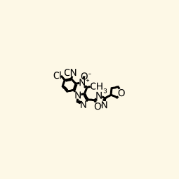 Cc1c2c(-c3nc(C4CCOC4)no3)ncn2c2ccc(Cl)c(C#N)c2[n+]1[O-]